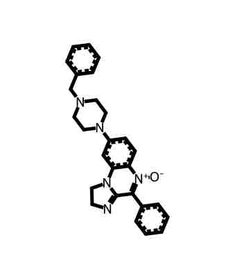 [O-][N+]1=C(c2ccccc2)C2=NCCN2c2cc(N3CCN(Cc4ccccc4)CC3)ccc21